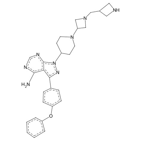 Nc1ncnc2c1c(-c1ccc(Oc3ccccc3)cc1)nn2C1CCN(C2CN(CC3CNC3)C2)CC1